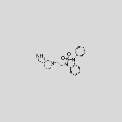 NCC1CCN(CCN2c3ccccc3N(c3ccccc3)S2(=O)=O)C1